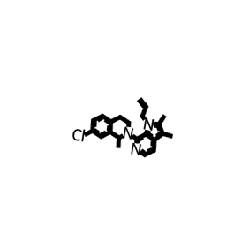 C=CCn1c(C)c(C)c2ccnc(N3CCc4ccc(Cl)cc4C3C)c21